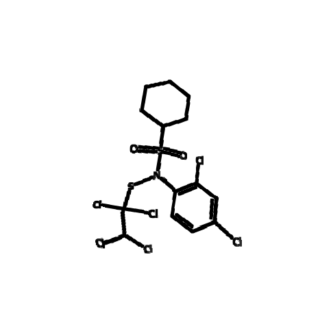 O=S(=O)(C1CCCCC1)N(SC(Cl)(Cl)C(Cl)Cl)c1ccc(Cl)cc1Cl